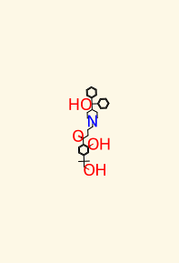 CC(C)(CO)c1ccc(C(=O)CCCN2CCC(C(O)(c3ccccc3)c3ccccc3)CC2)c(O)c1